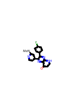 CNc1cc(-c2nc3c(=O)cc[nH]c3nc2-c2ccc(F)cc2)ccn1